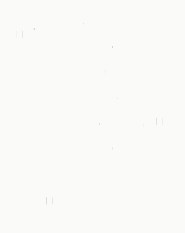 C[CH]CCCC(C)Sc1ccc(C)cc1